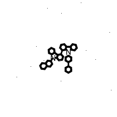 c1ccc(-c2ccc(-n3c4ccccc4c4cccc(-c5cccc6c5c5ccccc5n6-c5ccc6ccccc6c5)c43)cc2)cc1